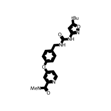 CNC(=O)c1cc(Oc2ccc(CNC(=O)Nc3cc(C(C)(C)C)on3)cc2)ccn1